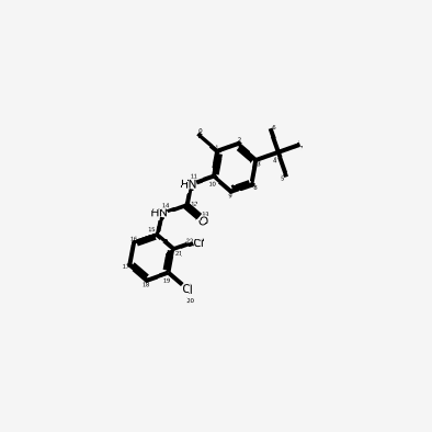 Cc1cc(C(C)(C)C)ccc1NC(=O)Nc1cccc(Cl)c1Cl